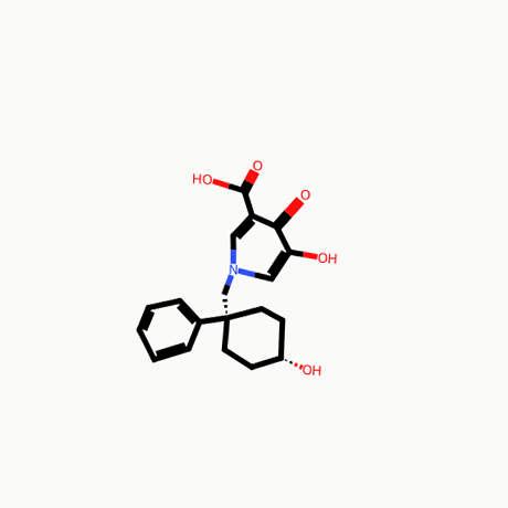 O=C(O)c1cn(C[C@]2(c3ccccc3)CC[C@H](O)CC2)cc(O)c1=O